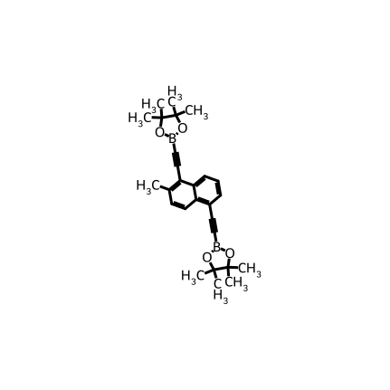 Cc1ccc2c(C#CB3OC(C)(C)C(C)(C)O3)cccc2c1C#CB1OC(C)(C)C(C)(C)O1